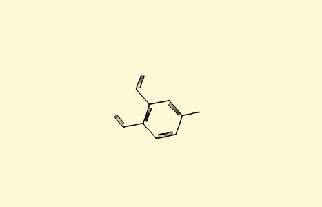 Nc1ccc(C=O)c(C=O)c1